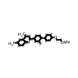 COCCOc1ccc(-c2ccc(-c3cc(C)c4cc(P)ccc4n3)cc2F)cc1